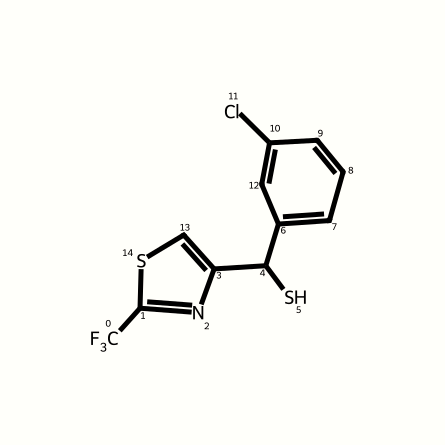 FC(F)(F)c1nc(C(S)c2cccc(Cl)c2)cs1